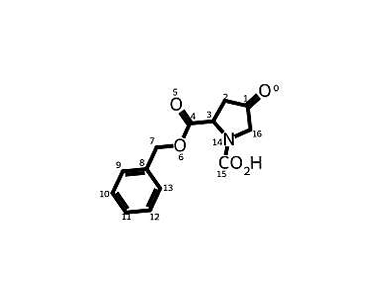 O=C1CC(C(=O)OCc2ccccc2)N(C(=O)O)C1